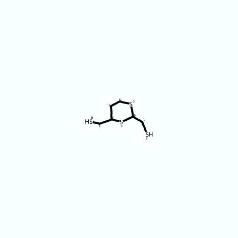 SCC1CCSC(CS)S1